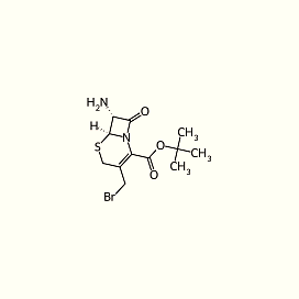 CC(C)(C)OC(=O)C1=C(CBr)CS[C@H]2[C@H](N)C(=O)N12